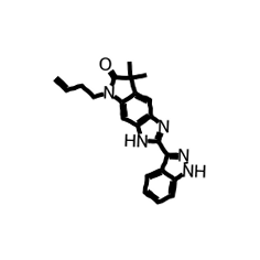 C=CCCN1C(=O)C(C)(C)c2cc3nc(-c4n[nH]c5ccccc45)[nH]c3cc21